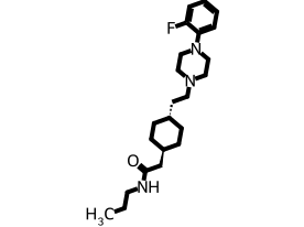 CCCNC(=O)C[C@H]1CC[C@H](CCN2CCN(c3ccccc3F)CC2)CC1